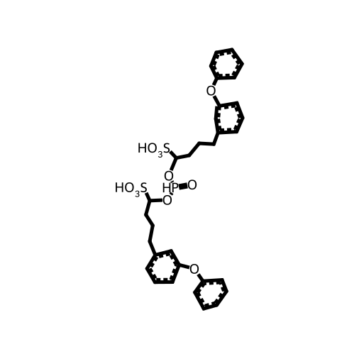 O=[PH](OC(CCCc1cccc(Oc2ccccc2)c1)S(=O)(=O)O)OC(CCCc1cccc(Oc2ccccc2)c1)S(=O)(=O)O